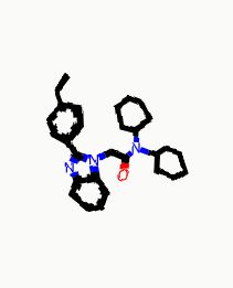 C=Cc1ccc(-c2nc3ccccc3n2CC(=O)N(C2CCCCC2)C2CCCCC2)cc1